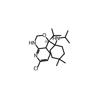 CC(C)NC1([C@@]2(C(C)C)OCNC3=NC(Cl)=CCC32)CCC(C)(C)CC1